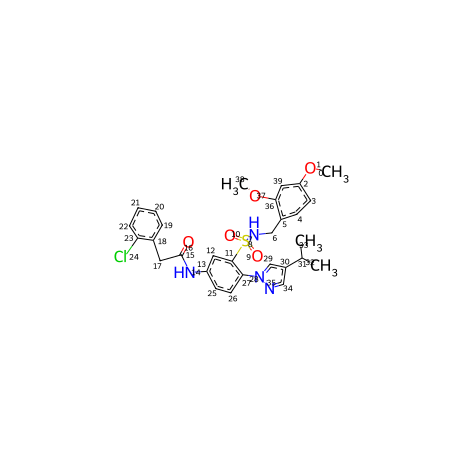 COc1ccc(CNS(=O)(=O)c2cc(NC(=O)Cc3ccccc3Cl)ccc2-n2cc(C(C)C)cn2)c(OC)c1